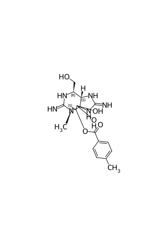 Cc1ccc(C(=O)OC2[C@H](C)N3C(=N)N[C@@H](CO)[C@@H]4NC(=N)NC43C2(O)O)cc1